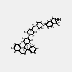 O=C1NCc2cc(N3CCN(CC4CCN(c5ccc(C6c7ccccc7CCC6c6ccccc6)cc5)CC4)CC3)ccc21